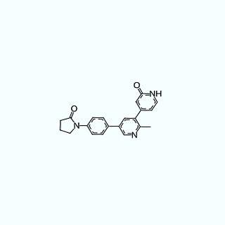 Cc1ncc(-c2ccc(N3CCCC3=O)cc2)cc1-c1cc[nH]c(=O)c1